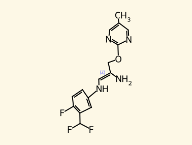 Cc1cnc(OC/C(N)=C/Nc2ccc(F)c(C(F)F)c2)nc1